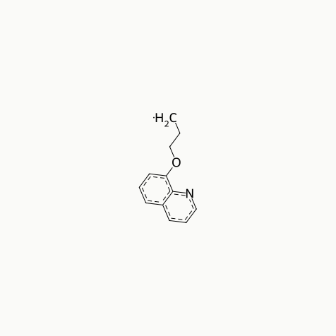 [CH2]CCOc1cccc2cccnc12